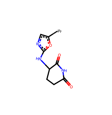 CC(C)c1cnc(NC2CCC(=O)NC2=O)o1